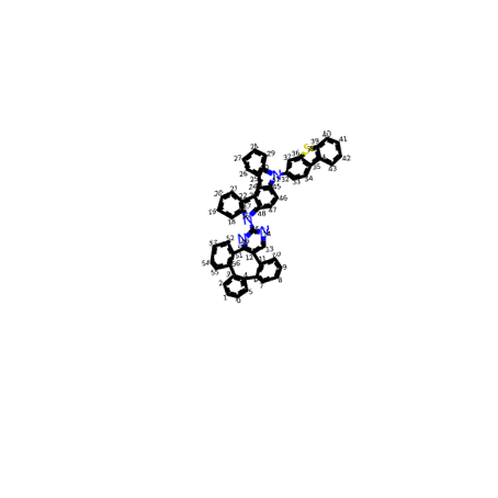 c1ccc2c(c1)-c1ccccc1-c1cnc(-n3c4ccccc4c4c5c6ccccc6n(-c6ccc7c(c6)sc6ccccc67)c5ccc43)nc1-c1ccccc1-2